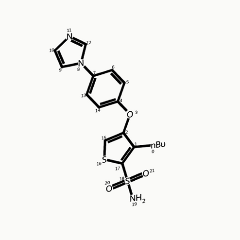 CCCCc1c(Oc2ccc(-n3ccnc3)cc2)csc1S(N)(=O)=O